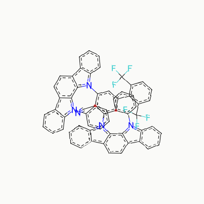 N#Cc1c(-n2c3ccccc3c3ccc4c5ccccc5n(-c5ccccc5)c4c32)cc(-c2c(C(F)(F)F)cccc2C(F)(F)F)cc1-n1c2ccccc2c2ccc3c4ccccc4n(-c4ccccc4)c3c21